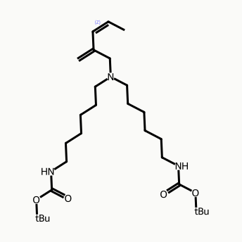 C=C(/C=C\C)CN(CCCCCCNC(=O)OC(C)(C)C)CCCCCCNC(=O)OC(C)(C)C